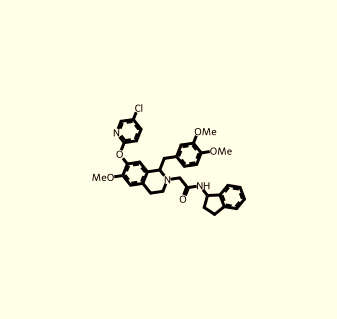 COc1ccc(CC2c3cc(Oc4ccc(Cl)cn4)c(OC)cc3CCN2CC(=O)NC2CCc3ccccc32)cc1OC